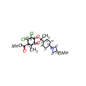 COC(=O)c1c(C)c2c(c(Cl)c1Cl)OC(C)(C1CCC(N3CC(OC)C3)CC1)O2